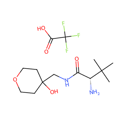 CC(C)(C)[C@H](N)C(=O)NCC1(O)CCOCC1.O=C(O)C(F)(F)F